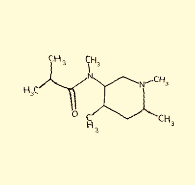 CC(C)C(=O)N(C)C1CN(C)C(C)CC1C